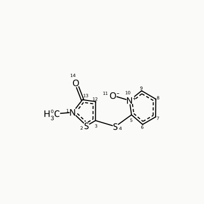 Cn1sc(Sc2cccc[n+]2[O-])cc1=O